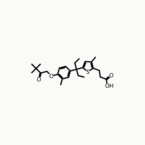 CCC(CC)(c1ccc(OCC(=O)C(C)(C)C)c(C)c1)c1cc(C)c(CCC(=O)O)s1